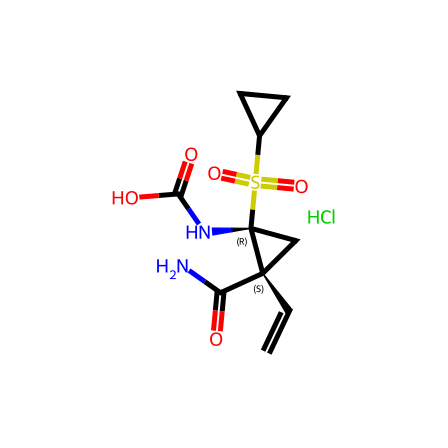 C=C[C@]1(C(N)=O)C[C@@]1(NC(=O)O)S(=O)(=O)C1CC1.Cl